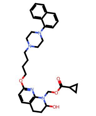 O=C(OCN1c2nc(OCCCCN3CCN(c4cccc5ccccc45)CC3)ccc2CCC1O)C1CC1